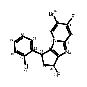 Fc1cc2nc3c(n2cc1Br)C(c1ccccc1Cl)C[C@@H]3F